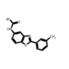 Cc1cccc(-c2nc3cc(NC(=O)C(C)C)ccc3o2)c1